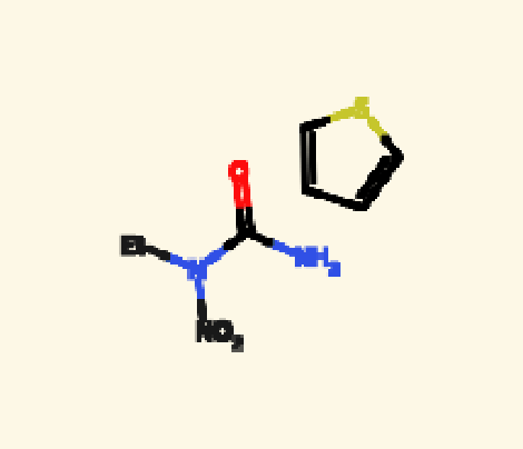 CCN(C(N)=O)[N+](=O)[O-].c1ccsc1